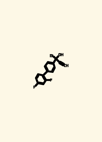 C#CC(O)(CC)c1ccc(-c2ccc(F)cc2F)cc1